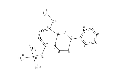 COC(=O)C1CN(c2ccccn2)CCN1C(=O)OC(C)(C)C